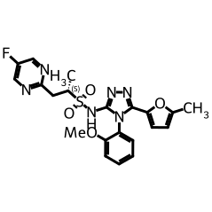 COc1ccccc1-n1c(NS(=O)(=O)[C@@H](C)Cc2ncc(F)cn2)nnc1-c1ccc(C)o1